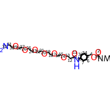 CNC(=O)OCc1ccc(NC(=O)CCOCCOCCOCCOCCOCCOCCN)cc1